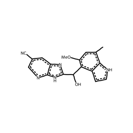 COc1cc(C)c2[nH]ccc2c1C(O)c1nc2cc(C#N)cnc2[nH]1